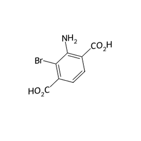 Nc1c(C(=O)O)ccc(C(=O)O)c1Br